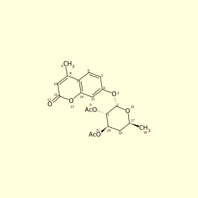 CC(=O)O[C@@H]1[C@H](Oc2ccc3c(C)cc(=O)oc3c2)O[C@@H](C)C[C@H]1OC(C)=O